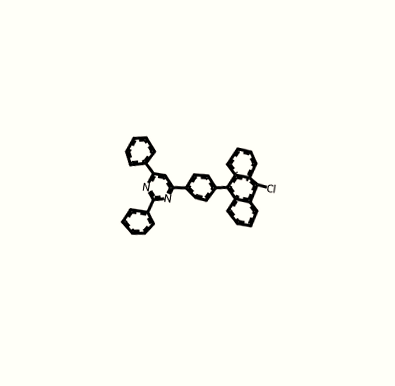 Clc1c2ccccc2c(-c2ccc(-c3cc(-c4ccccc4)nc(-c4ccccc4)n3)cc2)c2ccccc12